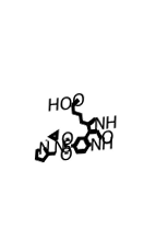 CN1CCCC1CN(C1CC1)S(=O)(=O)c1ccc2[nH]c(=O)c3[nH]cc(CCCC(=O)O)c3c2c1